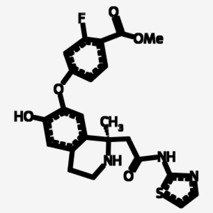 COC(=O)c1ccc(Oc2cc3c(cc2O)CCN[C@]3(C)CC(=O)Nc2nccs2)cc1F